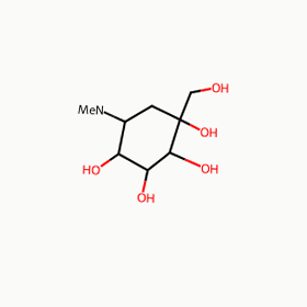 CNC1CC(O)(CO)C(O)C(O)C1O